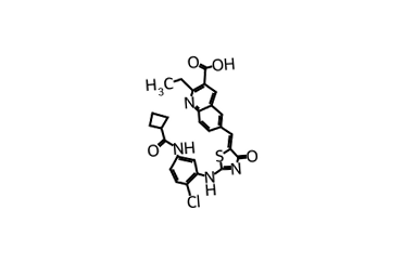 CCc1nc2ccc(/C=C3\SC(Nc4cc(NC(=O)C5CCC5)ccc4Cl)=NC3=O)cc2cc1C(=O)O